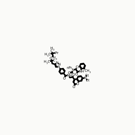 CCCN(C(=O)OC(CNC(=O)c1ccc(-n2cc(CC(C)(C)OCC(C)(C)C(C)C)nn2)cc1)c1cc(=O)oc2cc(N(CC)CC)ccc12)C(C)C(=O)Nc1ccccc1C